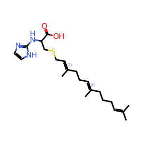 CC(C)=CCCC/C(C)=C/CC/C(C)=C/CSCC(Nc1ncc[nH]1)C(=O)O